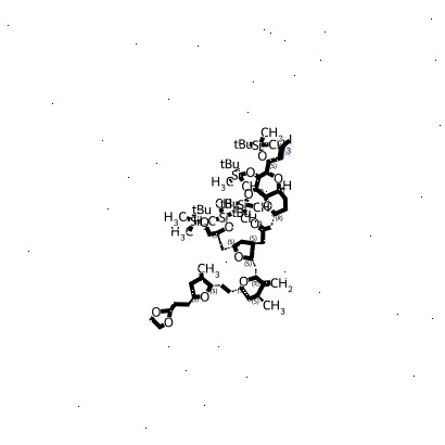 C=C1[C@@H](C)C[C@H](CC[C@@H]2O[C@@H](CCC3OCCO3)CC2C)O[C@@H]1C[C@@H]1O[C@H](C[C@@H](CO[Si](C)(C)C(C)(C)C)O[Si](C)(C)C(C)(C)C)C[C@H]1CC(=O)C[C@H]1CC[C@@H]2OC([C@H](/C=C/I)O[Si](C)(C)C(C)(C)C)C(O[Si](C)(C)C(C)(C)C)C(O[Si](C)(C)C(C)(C)C)C2O1